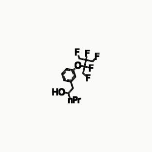 CCCC(O)Cc1cccc(OC(F)(CF)C(F)(CF)CF)c1